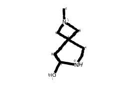 CN1CC2(CNC(O)C2)C1